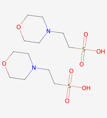 O=S(=O)(O)CCN1CCOCC1.O=S(=O)(O)CCN1CCOCC1